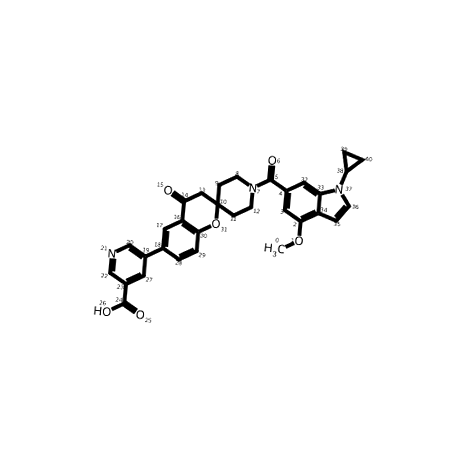 COc1cc(C(=O)N2CCC3(CC2)CC(=O)c2cc(-c4cncc(C(=O)O)c4)ccc2O3)cc2c1ccn2C1CC1